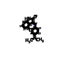 CN(C)c1ccc(/C=C2/C(=O)Nc3nccc(Cl)c32)cc1